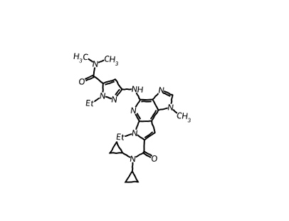 CCn1nc(Nc2nc3c(cc(C(=O)N(C4CC4)C4CC4)n3CC)c3c2ncn3C)cc1C(=O)N(C)C